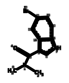 CN(C)C(=O)c1[c][nH]c2ccc(Br)cc12